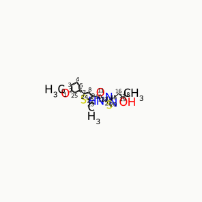 COc1cccc(-c2cc(C(=O)Nc3nc(CC(C)O)ns3)c(C)s2)c1